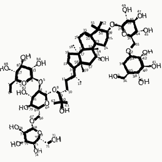 CC[C@@H]1O[C@H](O[C@H]2[C@H](O[C@H](CC[C@@H](C)C3CC[C@@]4(C)C5CC=C6C(CC[C@H](O[C@@H]7O[C@H](CO[C@@H]8C[C@H](CO)[C@@H](O)[C@H](O)[C@H]8O)[C@@H](O)[C@H](O)[C@H]7O)C6(C)C)[C@]5(C)[C@H](O)C[C@]34C)C(C)(C)O)O[C@H](CO[C@@H]3O[C@H](CO)[C@@H](O)[C@H](O)[C@H]3O)[C@@H](O)[C@@H]2O)[C@@H](O)[C@H](O)[C@H]1O